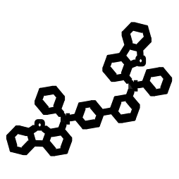 c1ccc(N(c2ccc(-c3cccc(N(c4ccccc4)c4cccc5c4oc4ccccc45)c3)cc2)c2cccc3c2oc2ccccc23)cc1